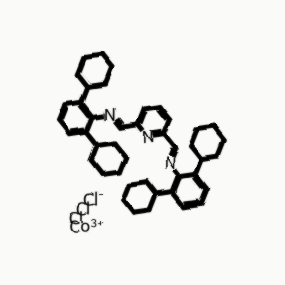 C(=Nc1c(C2CCCCC2)cccc1C1CCCCC1)c1cccc(C=Nc2c(C3CCCCC3)cccc2C2CCCCC2)n1.[Cl-].[Cl-].[Cl-].[Co+3]